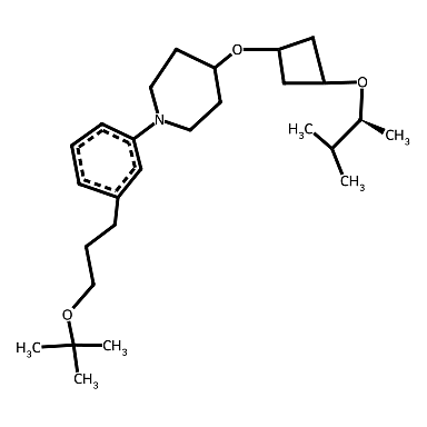 CC(C)[C@H](C)OC1CC(OC2CCN(c3cccc(CCCOC(C)(C)C)c3)CC2)C1